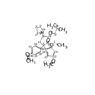 CCOC(=O)C(CC(COCC(C)C)N1CCCC1)(c1ccc(OC)cc1)c1ccc(OC)cc1